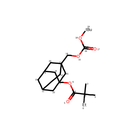 CCC(C)(C)C(=O)OC12CC3CC(CC(COC(=O)OC(C)(C)C)(C3)C1)C2